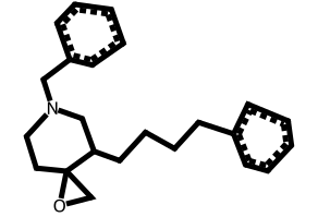 c1ccc(CCCCC2CN(Cc3ccccc3)CCC23CO3)cc1